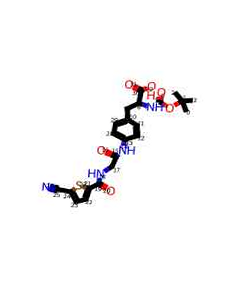 CC(C)(C)OC(=O)NC(Cc1ccc(NC(=O)CNC(=O)c2ccc(C#N)s2)cc1)C(=O)O